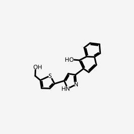 OCc1ccc(-c2cc(-c3ccc4ccccc4c3O)n[nH]2)s1